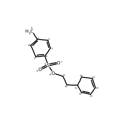 Cc1ccc(S(=O)(=O)OCCC2C=CC=CC2)cc1